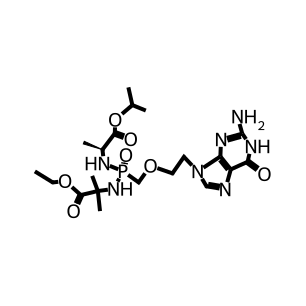 CCOC(=O)C(C)(C)NP(=O)(COCCn1cnc2c(=O)[nH]c(N)nc21)N[C@@H](C)C(=O)OC(C)C